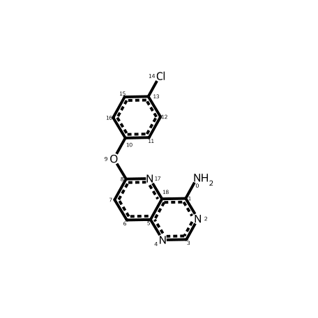 Nc1ncnc2ccc(Oc3ccc(Cl)cc3)nc12